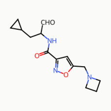 O=CC(CC1CC1)NC(=O)c1cc(CN2CCC2)on1